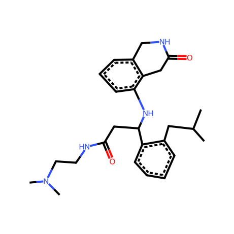 CC(C)Cc1ccccc1C(CC(=O)NCCN(C)C)Nc1cccc2c1CC(=O)NC2